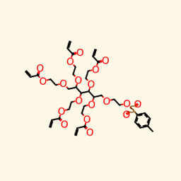 C=CC(=O)OCCOCC(OCCOC(=O)C=C)C(OCCOC(=O)C=C)C(OCCOC(=O)C=C)C(COCCOS(=O)(=O)c1ccc(C)cc1)OCCOC(=O)C=C